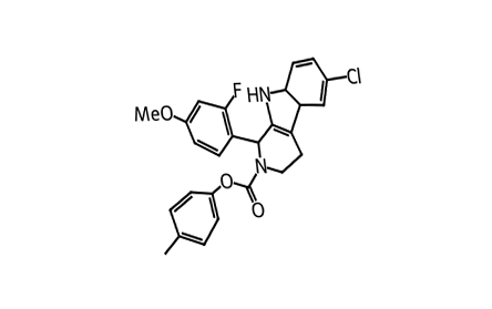 COc1ccc(C2C3=C(CCN2C(=O)Oc2ccc(C)cc2)C2C=C(Cl)C=CC2N3)c(F)c1